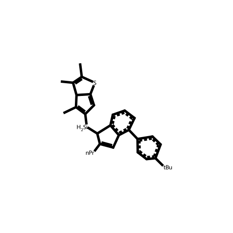 CCCC1=Cc2c(-c3ccc(C(C)(C)C)cc3)cccc2C1[SiH2]C1=C(C)C2C(=C1)SC(C)=C2C